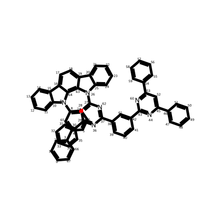 c1ccc(-c2cccc(-n3c4ccccc4c4ccc5c6ccccc6n(-c6nc(-c7ccccc7)nc(-c7cccc(-c8nc(-c9ccccc9)cc(-c9ccccc9)n8)c7)n6)c5c43)c2)cc1